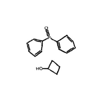 O=[P](c1ccccc1)c1ccccc1.OC1CCC1